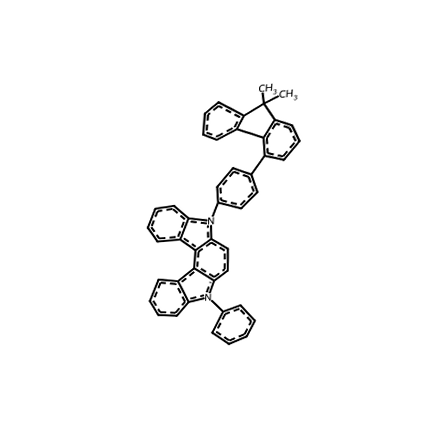 CC1(C)c2ccccc2-c2c(-c3ccc(-n4c5ccccc5c5c6c7ccccc7n(-c7ccccc7)c6ccc54)cc3)cccc21